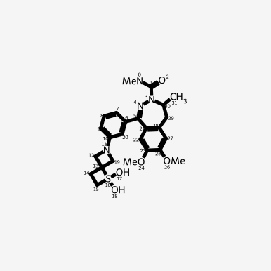 CNC(=O)N1N=C(c2cccc(N3CC4(CCS4(O)O)C3)c2)c2cc(OC)c(OC)cc2CC1C